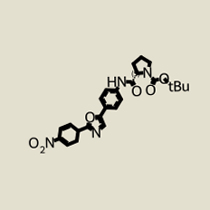 CC(C)(C)OC(=O)N1CCC[C@H]1C(=O)Nc1ccc(-c2cnc(C3C=CC([N+](=O)[O-])=CC3)o2)cc1